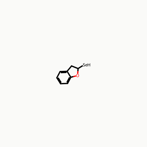 [SeH]C1Cc2ccccc2O1